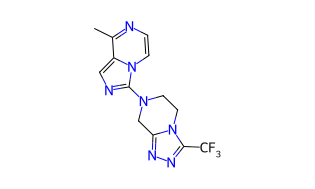 Cc1nccn2c(N3CCn4c(nnc4C(F)(F)F)C3)ncc12